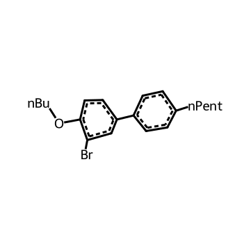 CCCCCc1ccc(-c2ccc(OCCCC)c(Br)c2)cc1